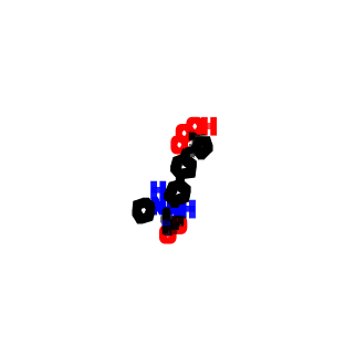 O=C(O)[C@@H]1CCC[C@H]1C(=O)c1ccc(-c2ccc(N/C(=C\[N+](=O)[O-])NC3CCCCC3)cc2)cc1